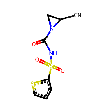 N#CC1CN1C(=O)NS(=O)(=O)c1cccs1